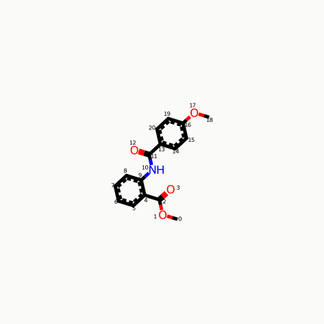 COC(=O)c1ccccc1NC(=O)c1ccc(OC)cc1